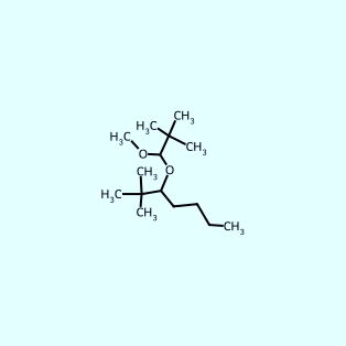 CCCCC(OC(OC)C(C)(C)C)C(C)(C)C